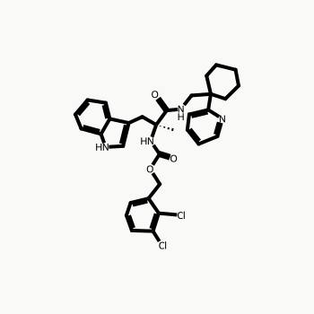 C[C@@](Cc1c[nH]c2ccccc12)(NC(=O)OCc1cccc(Cl)c1Cl)C(=O)NCC1(c2ccccn2)CCCCC1